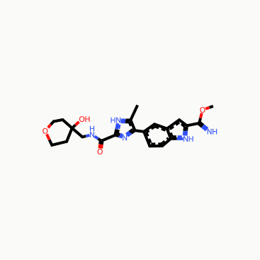 COC(=N)c1cc2cc(-c3nc(C(=O)NCC4(O)CCOCC4)[nH]c3C)ccc2[nH]1